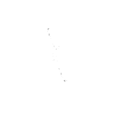 CC(C)CCCCCCCCCOC(=O)C1CCC(C(=O)OCCCCCCCCC(C)C)CC1